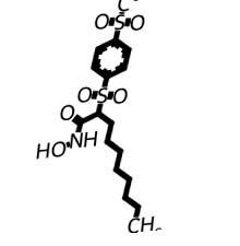 CCCCCCCCC(C(=O)NO)S(=O)(=O)c1ccc(S(C)(=O)=O)cc1